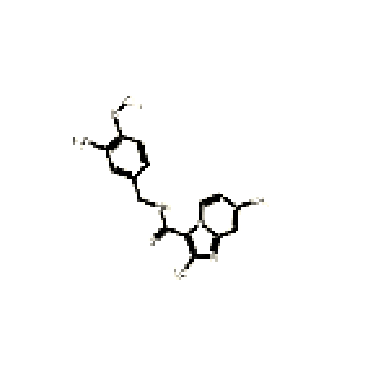 COc1ccc(CNC(=O)c2c(C)nc3cc(C)ccn23)cc1C